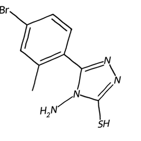 Cc1cc(Br)ccc1-c1nnc(S)n1N